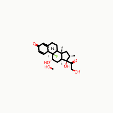 CO.C[C@@H]1C[C@H]2[C@@H]3CCC4=CC(=O)C=C[C@]4(C)[C@@]3(F)[C@@H](O)C[C@]2(C)[C@@]1(O)C(=O)CO